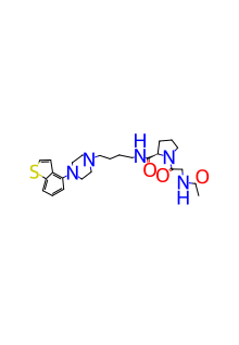 CC(=O)NCC(=O)N1CCC[C@@H]1C(=O)NCCCCN1CCN(c2cccc3sccc23)CC1